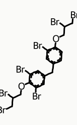 BrCC(Br)COc1ccc(Cc2cc(Br)c(OCC(Br)CBr)c(Br)c2)cc1Br